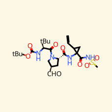 C=CC1CC1(NC(=O)[C@@H]1C[C@@H](C=O)CN1C(=O)[C@@H](NC(=O)OC(C)(C)C)C(C)(C)C)C(=O)NS(C)(=O)=O